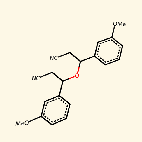 COc1cccc(C(CC#N)OC(CC#N)c2cccc(OC)c2)c1